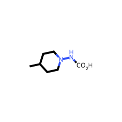 CC1CCN(NC(=O)O)CC1